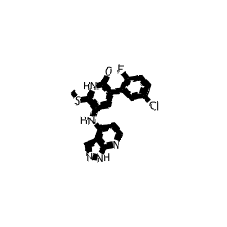 CSc1[nH]c(=O)c(-c2cc(Cl)ccc2F)cc1Nc1ccnc2[nH]ncc12